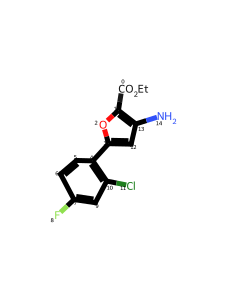 CCOC(=O)c1oc(-c2ccc(F)cc2Cl)cc1N